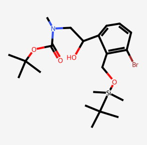 CN(CC(O)c1cccc(Br)c1CO[Si](C)(C)C(C)(C)C)C(=O)OC(C)(C)C